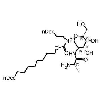 CCCCCCCCCCCCCCCCCCOC(=O)N(CCCCCCCCCCCC)[C@@H]1O[C@H](CO)[C@@H](O)[C@H](O)[C@H]1NC(=O)[C@H](C)N